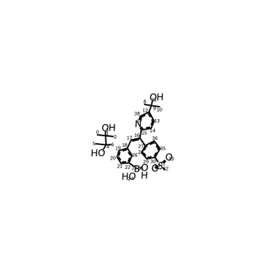 CC(C)(O)C(C)(C)O.CC(C)(O)c1ccc(C(=Cc2cccc(B(O)O)c2)c2ccc(S(C)(=O)=O)cc2)nc1